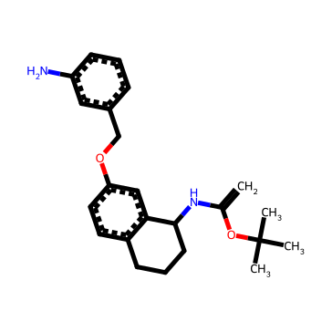 C=C(NC1CCCc2ccc(OCc3cccc(N)c3)cc21)OC(C)(C)C